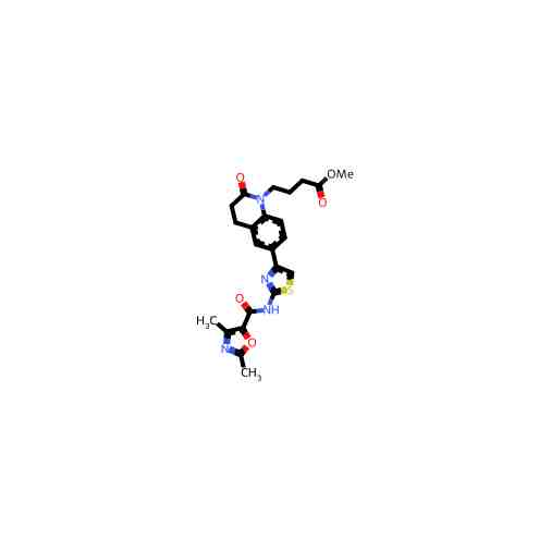 COC(=O)CCCN1C(=O)CCc2cc(-c3csc(NC(=O)c4oc(C)nc4C)n3)ccc21